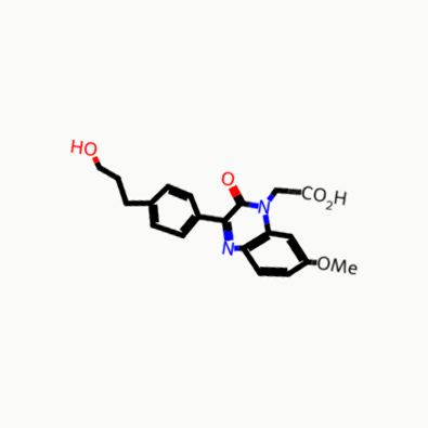 COc1ccc2nc(-c3ccc(CCCO)cc3)c(=O)n(CC(=O)O)c2c1